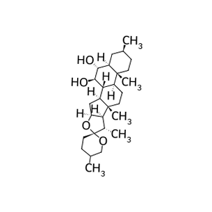 CC1CC[C@@]2(OC1)O[C@H]1C[C@H]3[C@@H]4[C@@H](O)[C@H](O)[C@H]5C[C@@H](C)CC[C@]5(C)[C@H]4CC[C@]3(C)[C@H]1[C@@H]2C